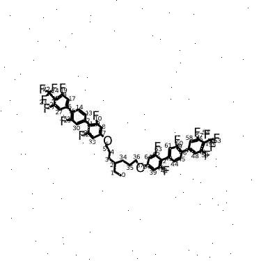 CCC(CCCOc1cc(F)c(-c2ccc(-c3cc(F)c(C(F)(F)F)c(F)c3)c(F)c2)c(F)c1)CCCOc1cc(F)c(-c2ccc(-c3cc(F)c(C(F)(F)F)c(F)c3)c(F)c2)c(F)c1